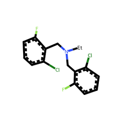 CCN(Cc1c(F)cccc1Cl)Cc1c(F)cccc1Cl